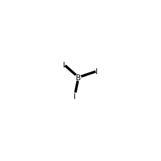 IB(I)I